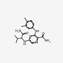 Cc1ccc(Nc2nc(NC(C(N)=O)C(C)C)cnc2C(N)=O)cc1C